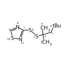 CC(C)(C)CC(C)(C)SSc1ncsn1